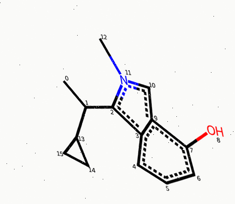 CC(c1c2cccc(O)c2cn1C)C1CC1